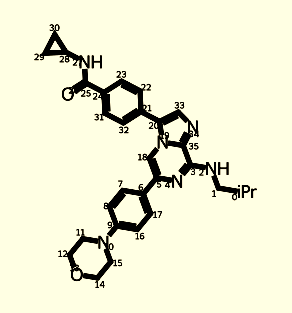 CC(C)CNc1nc(-c2ccc(N3CCOCC3)cc2)cn2c(-c3ccc(C(=O)NC4CC4)cc3)cnc12